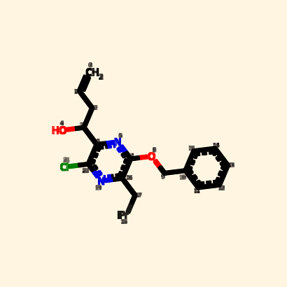 C=CCC(O)c1nc(OCc2ccccc2)c(CC(C)C)nc1Cl